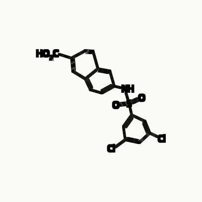 O=C(O)c1ccc2cc(NS(=O)(=O)c3cc(Cl)cc(Cl)c3)ccc2c1